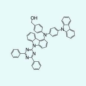 OCc1ccc(N(c2ccc(-n3c4ccccc4c4ccccc43)cc2)c2cccc3c2c2ccccc2n3-c2nc(-c3ccccc3)nc(-c3ccccc3)n2)cc1